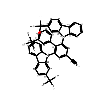 N#Cc1cc(-n2c3ccccc3c3ccc(C(F)(F)F)cc32)c(-c2cccc(C(F)(F)F)c2)c(-n2c3ccccc3c3ccc(C(F)(F)F)cc32)c1